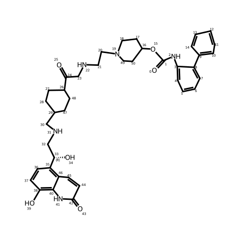 O=C(Nc1ccccc1-c1ccccc1)OC1CCN(CCNCC(=O)C2CCC(CNC[C@H](O)c3ccc(O)c4[nH]c(=O)ccc34)CC2)CC1